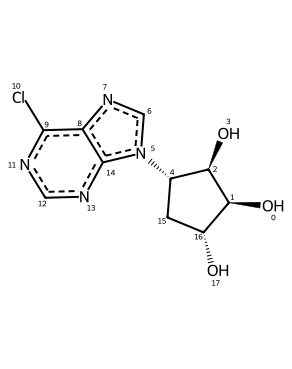 O[C@@H]1[C@H](O)[C@@H](n2cnc3c(Cl)ncnc32)C[C@H]1O